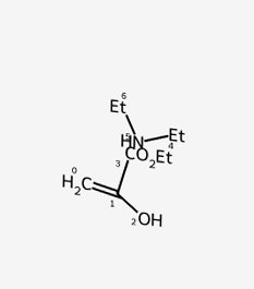 C=C(O)C(=O)OCC.CCNCC